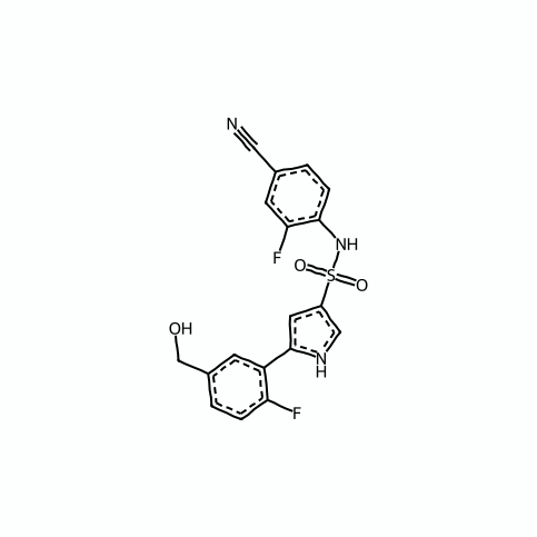 N#Cc1ccc(NS(=O)(=O)c2c[nH]c(-c3cc(CO)ccc3F)c2)c(F)c1